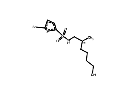 C[C@@H](CCCCO)CNS(=O)(=O)c1ccc(Br)s1